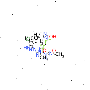 C=CC(=O)N1CC(NC(=O)c2c(C)nc(CNc3n[nH]c4cc(Cl)c(C(C)(C)C)cc34)n2CC(F)(F)F)C1.Cc1cn(C(F)F)c(CO)n1